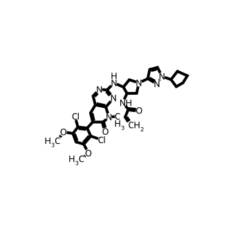 C=CC(=O)NC1CN(c2ccn(C3CCCC3)n2)CC1Nc1ncc2cc(-c3c(Cl)c(OC)cc(OC)c3Cl)c(=O)n(C)c2n1